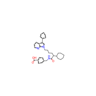 O=C(O)c1ccc(CNC(=O)C(CCCCn2cc(-c3ccccc3)c3cccnc32)C2CCCCCC2)cc1